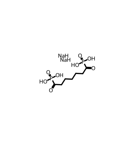 O=C(CCCCCC(=O)P(=O)(O)O)P(=O)(O)O.[NaH].[NaH]